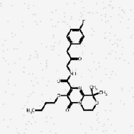 CCCCOc1c(C(=O)NCC(=O)Cc2ccc(F)cc2)nc2n(c1=O)CCOC2(C)C